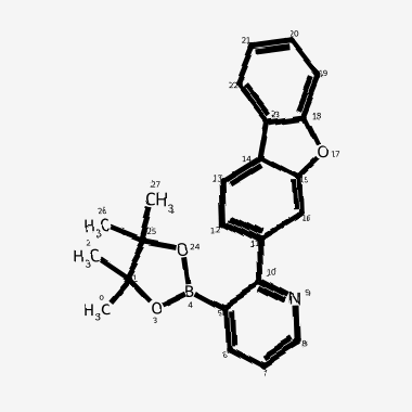 CC1(C)OB(c2cccnc2-c2ccc3c(c2)oc2ccccc23)OC1(C)C